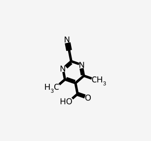 Cc1nc(C#N)nc(C)c1C(=O)O